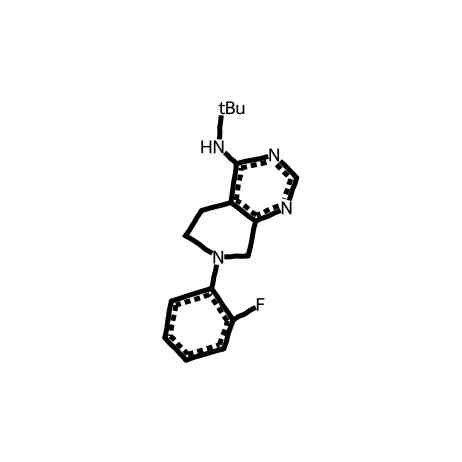 CC(C)(C)Nc1ncnc2c1CCN(c1ccccc1F)C2